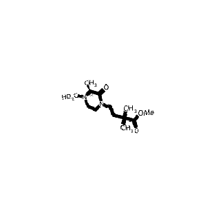 COC(=O)C(C)(C)CCN1CCN(C(=O)O)[C@@H](C)C1=O